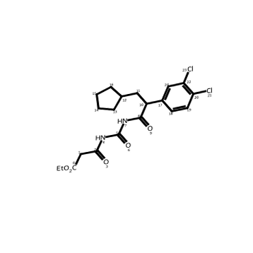 CCOC(=O)CC(=O)NC(=O)NC(=O)C(CC1CCCC1)c1ccc(Cl)c(Cl)c1